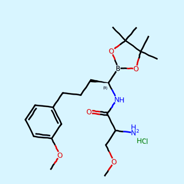 COCC(N)C(=O)N[C@@H](CCCc1cccc(OC)c1)B1OC(C)(C)C(C)(C)O1.Cl